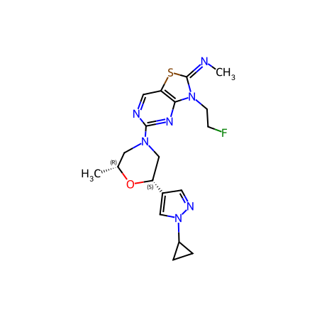 CN=c1sc2cnc(N3C[C@@H](C)O[C@@H](c4cnn(C5CC5)c4)C3)nc2n1CCF